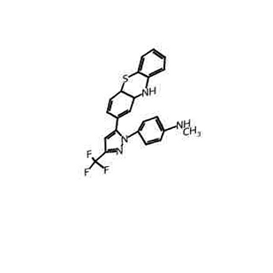 CNc1ccc(-n2nc(C(F)(F)F)cc2C2=CC3Nc4ccccc4SC3C=C2)cc1